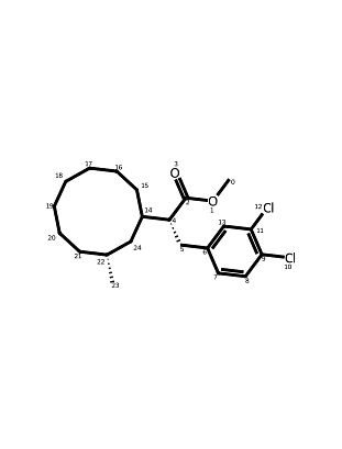 COC(=O)[C@H](Cc1ccc(Cl)c(Cl)c1)C1CCCCCCC[C@@H](C)C1